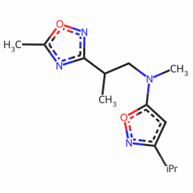 Cc1nc(C(C)CN(C)c2cc(C(C)C)no2)no1